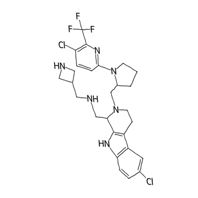 FC(F)(F)c1nc(N2CCCC2CN2CCc3c([nH]c4ccc(Cl)cc34)C2CNCC2CNC2)ccc1Cl